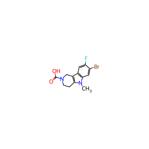 Cn1c2c(c3cc(F)c(Br)cc31)CN(C(=O)O)CC2